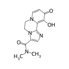 CN(C)C(=O)c1cnc2n1CCn1ccc(=O)c(O)c1-2